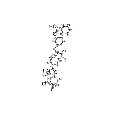 Cc1c(C)n(Cc2ccc(-c3ccccc3C(=O)O)cc2)c2ccc(C(=O)NC(C)c3cccc(F)c3Cl)cc12